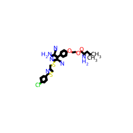 CC(C)C[C@H](N)C(=O)OCCOc1ccc(-c2c(C#N)c(N)nc(SCc3csc(-c4ccc(Cl)cc4)n3)c2C#N)cc1